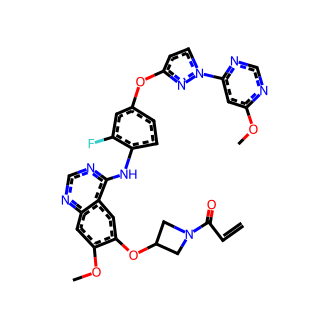 C=CC(=O)N1CC(Oc2cc3c(Nc4ccc(Oc5ccn(-c6cc(OC)ncn6)n5)cc4F)ncnc3cc2OC)C1